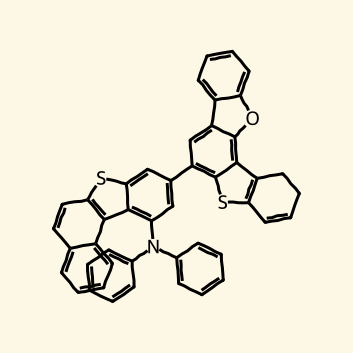 C1=Cc2sc3c(-c4cc(N(c5ccccc5)c5ccccc5)c5c(c4)sc4ccc6ccccc6c45)cc4c5ccccc5oc4c3c2CC1